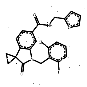 O=C(NCc1ccco1)c1ccc2c(c1)N(Cc1c(F)cccc1Cl)C(=O)C21CC1